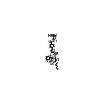 CCCCC[C@@H](C(=O)NCNC(=O)c1ccc(-c2ccc(C(=O)NCO[PH](=O)O)cc2)o1)[C@@H](CC)N(C=O)OCc1ccccc1